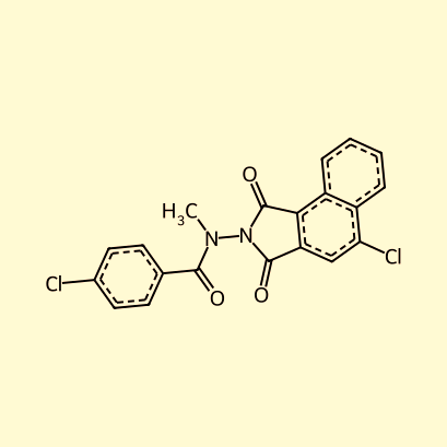 CN(C(=O)c1ccc(Cl)cc1)N1C(=O)c2cc(Cl)c3ccccc3c2C1=O